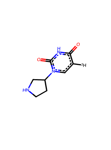 [2H]c1cn(C2CCNC2)c(=O)[nH]c1=O